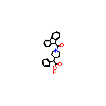 O=C(O)C(c1ccccc1)C1CCN(C(=O)C2c3ccccc3-c3ccccc32)CC1